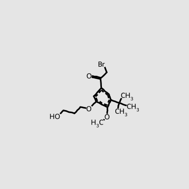 COc1c(OCCCO)cc(C(=O)CBr)cc1C(C)(C)C